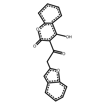 O=C(Cc1cc2ccccc2o1)c1c(O)c2ccccc2oc1=O